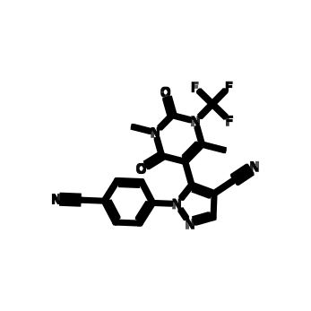 Cc1c(-c2c(C#N)cnn2-c2ccc(C#N)cc2)c(=O)n(C)c(=O)n1C(F)(F)F